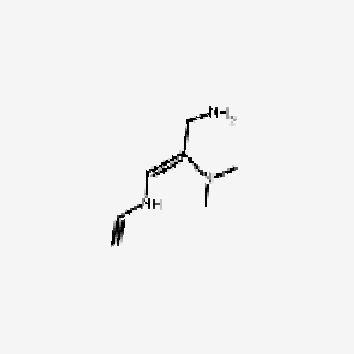 C=CN/C=C(/CN)N(C)C